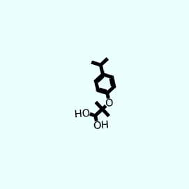 CC(C)c1ccc(OC(C)(C)C(O)O)cc1